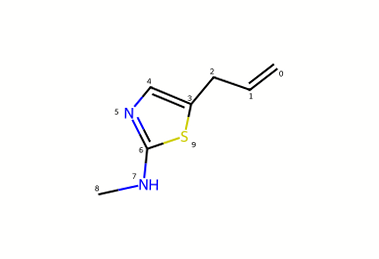 C=CCc1cnc(NC)s1